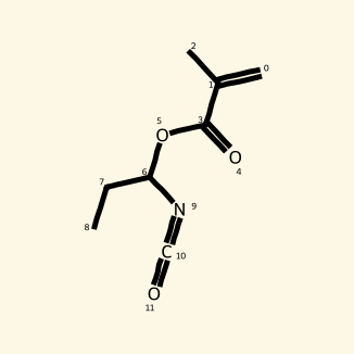 C=C(C)C(=O)OC(CC)N=C=O